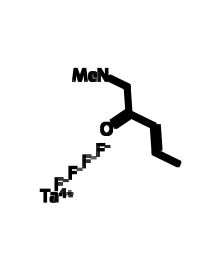 CC=CC(=O)CNC.[F-].[F-].[F-].[F-].[Ta+4]